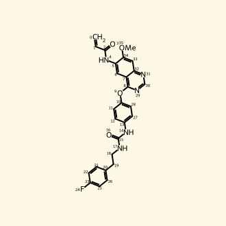 C=CC(=O)Nc1cc2c(Oc3ccc(NC(=O)NCCc4ccc(F)cc4)cc3)ncnc2cc1OC